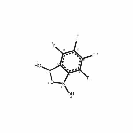 OB1OB(O)c2c(F)c(F)c(F)c(F)c21